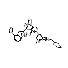 C1=CC(c2cccc3[nH]c(-c4n[nH]c5ccc(-c6cncc(CNCC7CCCC7)c6)nc45)cc23)=CC1